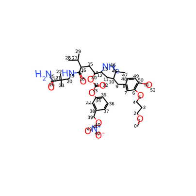 COCCCOc1cc(CC(CC(N)C(CC(C(=O)NCC(C)(C)C(N)=O)C(C)C)OC(=O)Oc2cccc(CO[N+](=O)[O-])c2)C(C)C)ccc1OC